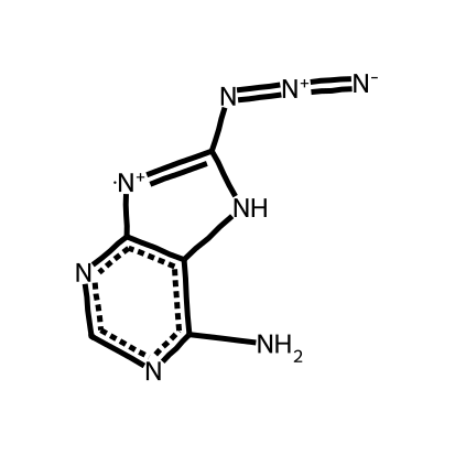 [N-]=[N+]=NC1=[N+]c2ncnc(N)c2N1